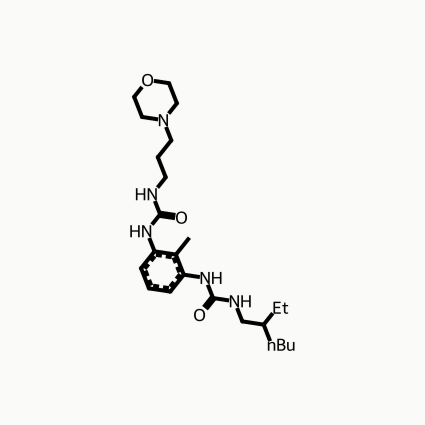 CCCCC(CC)CNC(=O)Nc1cccc(NC(=O)NCCCN2CCOCC2)c1C